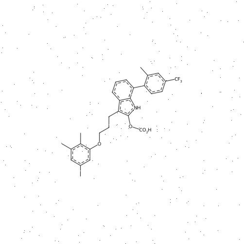 Cc1cc(C)c(C)c(OCCCc2c(OC(=O)O)[nH]c3c(-c4ccc(C(F)(F)F)cc4C)cccc23)c1